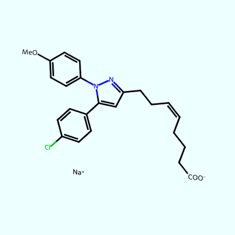 COc1ccc(-n2nc(CC/C=C\CCCC(=O)[O-])cc2-c2ccc(Cl)cc2)cc1.[Na+]